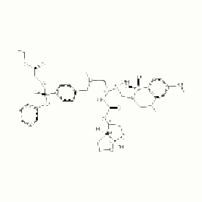 CCOC(=O)COP(=O)(Oc1ccccc1)c1ccc(CN(C)C[C@H](NC(=O)O[C@H]2CO[C@H]3OCC[C@H]32)[C@H](O)CN2CC(C)c3cc(OC)ccc3S2(=O)=O)cc1